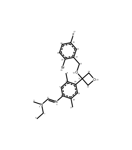 CCN(C)C=Nc1cc(C)c(C2(OCc3cc(F)ccc3Br)COC2)cc1C